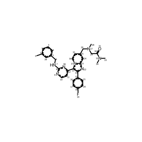 Cc1cccc(CNc2nccc(-c3c(-c4ccc(F)cc4)nc4cc(CN(C)CC(=O)N(C)C)ccn34)n2)c1